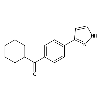 O=C(c1ccc(-c2cc[nH]n2)cc1)C1CCCCC1